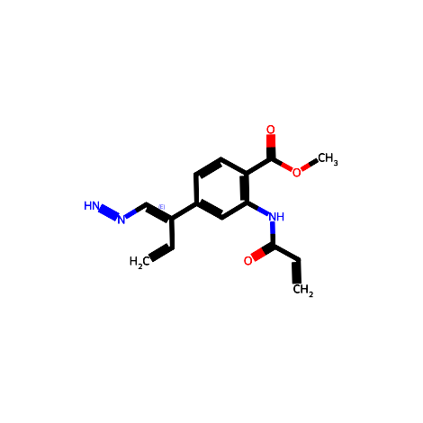 C=CC(=O)Nc1cc(/C(C=C)=C/N=N)ccc1C(=O)OC